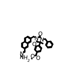 COC(=O)c1ccc(C2(C)C(=O)N(Cc3ccc4ccc(C=NN)cc4c3)C(=O)N2Cc2ccccc2)cc1